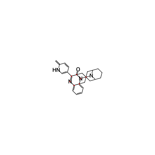 C=C1C=CC(c2nc3ccccc3n(C3CC4CCCC(C3)N4C3CC4CCCC(C4)C3)c2=O)=CN1